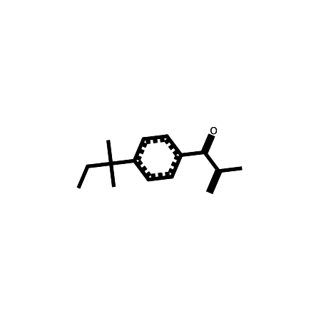 C=C(C)C(=O)c1ccc(C(C)(C)CC)cc1